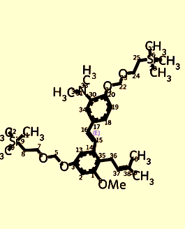 COc1cc(OCOCC[Si](C)(C)C)cc(/C=C/c2ccc(OCOCC[Si](C)(C)C)c(N(C)C)c2)c1CC=C(C)C